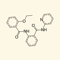 CCOc1ccccc1C(=O)Nc1ccccc1C(=O)Nc1ccccn1